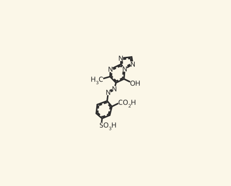 Cc1nc2ncnn2c(O)c1/N=N/c1ccc(S(=O)(=O)O)cc1C(=O)O